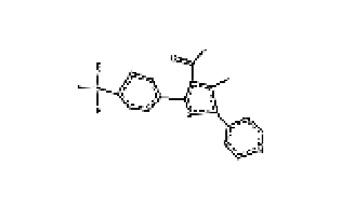 CC(=O)c1c(-c2ccc(C(F)(F)F)cc2)sc(-c2ccncc2)c1C